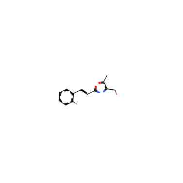 Cc1oc(/C=C/c2ccccc2Cl)nc1CO